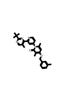 Cc1cccc(COc2cc(C)n(-c3ccnc(-c4nc(C(C)(C)C)ncc4C)c3)c(=O)c2C)c1